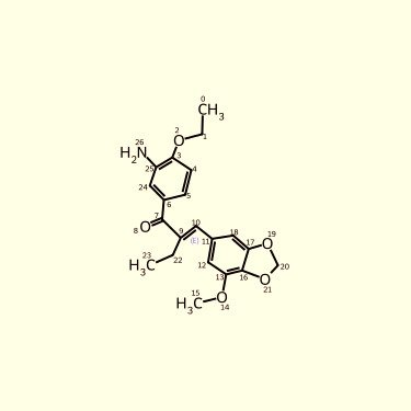 CCOc1ccc(C(=O)/C(=C/c2cc(OC)c3c(c2)OCO3)CC)cc1N